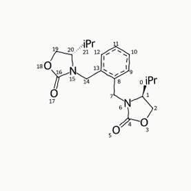 CC(C)[C@H]1COC(=O)N1Cc1ccccc1CN1C(=O)OC[C@@H]1C(C)C